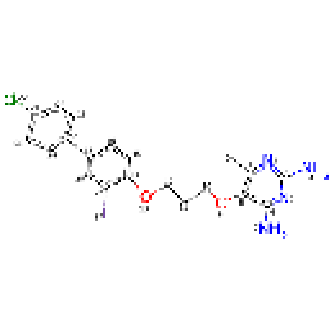 Cc1nc(N)nc(N)c1OCCCOc1ccc(-c2ccc(Cl)cc2)cc1I